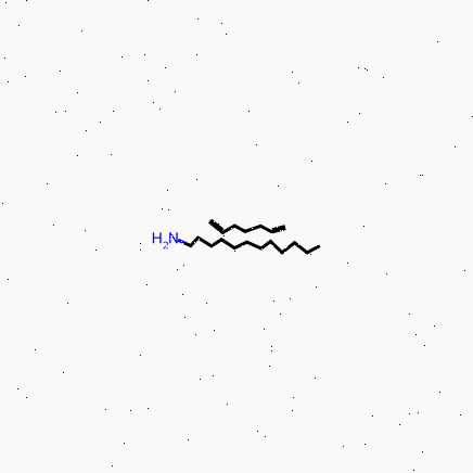 C=CCCCC=C.CCCCCCCCCCCCN